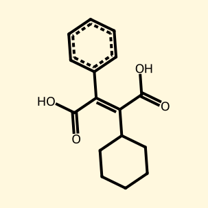 O=C(O)/C(=C(/C(=O)O)C1CCCCC1)c1ccccc1